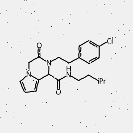 CC(C)CCNC(=O)C1c2cccn2CC(=O)N1CCc1ccc(Cl)cc1